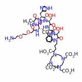 C[C@H](NC(=O)[C@H](CC(=O)O)NC(=O)COCCOCCN)C(=O)N[C@@H](Cc1c[nH]cn1)C(=O)N[C@@H](CO)C(=O)N[C@@H](Cc1ccccc1)C(=O)NC(CO)C(=O)NCCCC(C(=O)O)N1CCN(CC(=O)O)CCN(CC(=O)O)CCN(CC(=O)O)CC1